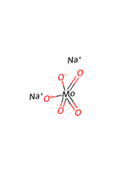 [Na+].[Na+].[O]=[Mo](=[O])(=[O])([O-])[O-]